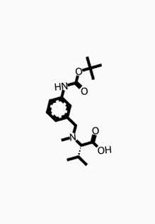 CC(C)[C@@H](C(=O)O)N(C)Cc1cccc(NC(=O)OC(C)(C)C)c1